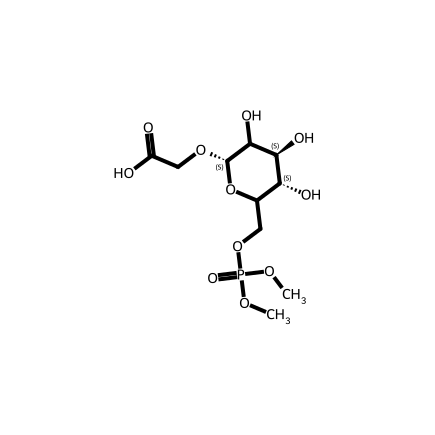 COP(=O)(OC)OCC1O[C@H](OCC(=O)O)C(O)[C@@H](O)[C@@H]1O